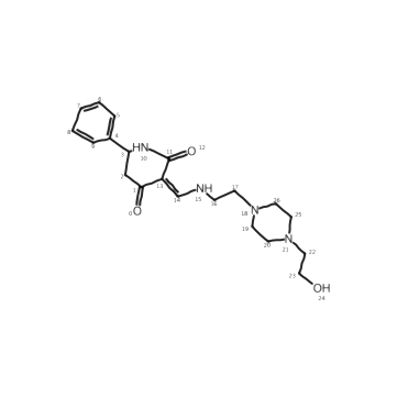 O=C1CC(c2ccccc2)NC(=O)/C1=C\NCCN1CCN(CCO)CC1